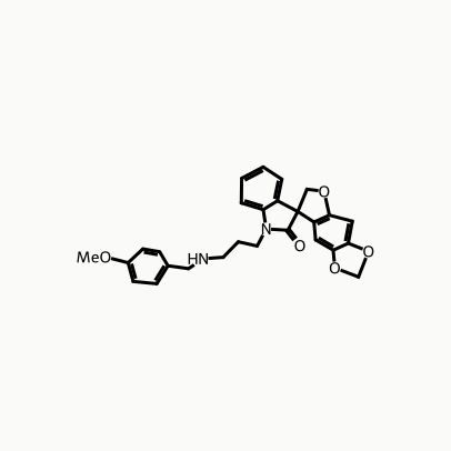 COc1ccc(CNCCCN2C(=O)C3(COc4cc5c(cc43)OCO5)c3ccccc32)cc1